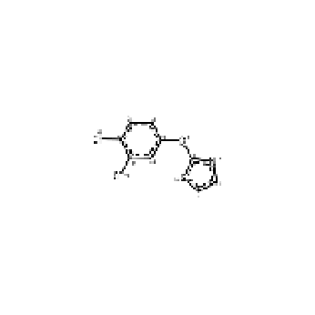 Clc1ccc(Oc2n[c]cs2)cc1Cl